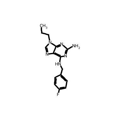 CCCn1cnc2c(NCc3ccc(F)cc3)nc(N)nc21